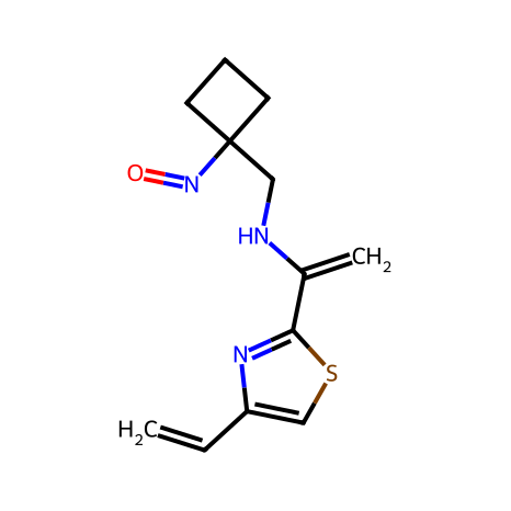 C=Cc1csc(C(=C)NCC2(N=O)CCC2)n1